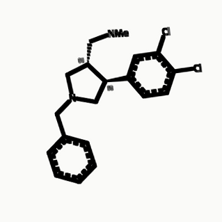 CNC[C@H]1CN(Cc2ccccc2)C[C@@H]1c1ccc(Cl)c(Cl)c1